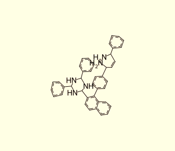 NC(/C=C\C(N)c1ccc(-c2c(C3NC(c4ccccc4)NC(c4ccccc4)N3)ccc3ccccc23)cc1)c1ccccc1